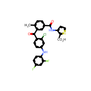 Cc1ccc(C(=O)Nc2ccsc2C(=O)O)cc1C(=O)c1ccc(Nc2ccc(F)cc2F)cc1Cl